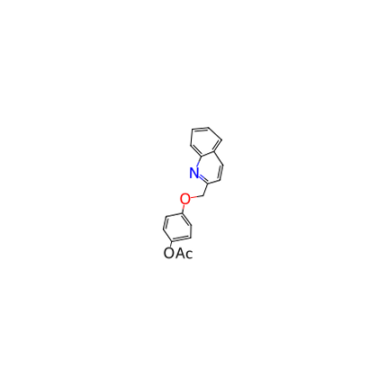 CC(=O)Oc1ccc(OCc2ccc3ccccc3n2)cc1